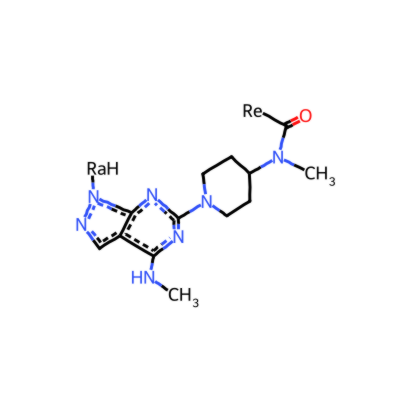 CNc1nc(N2CCC(N(C)[C](=O)[Re])CC2)nc2c1cn[n]2[RaH]